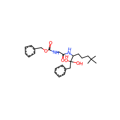 CC(C)(C)CCCC(NC(=O)CNC(=O)OCc1ccccc1)C(O)(O)Cc1ccccc1